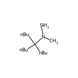 CCCCC(CCCC)(CCCC)N(C)[SiH3]